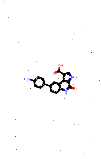 Nc1ccc(-c2ccc3[nH]c(=O)c4[nH]cc(C(=O)O)c4c3c2)cc1